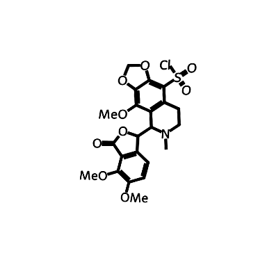 COc1ccc2c(c1OC)C(=O)OC2C1c2c(c(S(=O)(=O)Cl)c3c(c2OC)OCO3)CCN1C